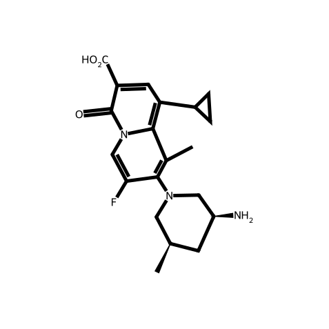 Cc1c(N2C[C@H](C)C[C@H](N)C2)c(F)cn2c(=O)c(C(=O)O)cc(C3CC3)c12